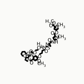 C=CCOC(=O)N1c2cc(OCCCC(=O)Nc3nc(C(=O)Nc4cc(C(=O)Oc5cc(C(=O)OC)n(C)c5)n(C)c4)cs3)c(OC)cc2C(=O)N2CCC[C@H]2C1OC1CCCCO1